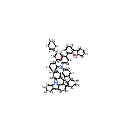 c1ccc(-c2cccc(-c3ccccc3N(c3ccc(-c4cccc5c4oc4ccccc45)cc3)c3ccc4c(c3)C3(c5ccccc5-4)c4ccccc4-n4c5ccccc5c5cccc3c54)c2)cc1